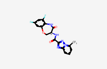 O=C(N[C@H]1COc2cc(F)cc(F)c2NC1=O)c1nc2cccc(C(F)(F)F)n2n1